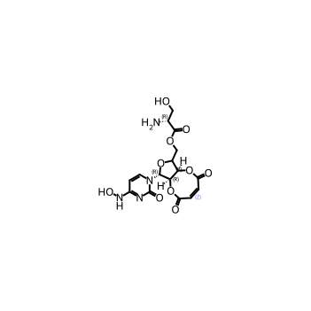 N[C@H](CO)C(=O)OCC1O[C@@H](n2ccc(NO)nc2=O)[C@@H]2OC(=O)/C=C\C(=O)O[C@H]12